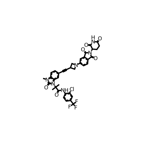 Cn1c(=O)n(C(C)(C)C(=O)Nc2ccc(C(F)(F)F)cc2Cl)c2cc(C#CC3CN(c4ccc5c(c4)C(=O)N(C4CCC(=O)NC4=O)C5=O)C3)ccc21